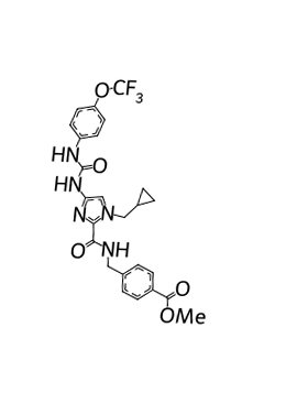 COC(=O)c1ccc(CNC(=O)c2nc(NC(=O)Nc3ccc(OC(F)(F)F)cc3)cn2CC2CC2)cc1